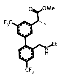 CCNCc1cc(C(F)(F)F)ccc1-c1cc([C@@H](C)C(=O)OC)cc(C(F)(F)F)c1